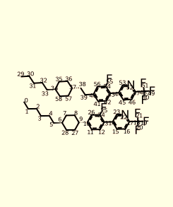 CCCCCC[C@H]1CC[C@H](c2ccc(-c3ccc(C(F)(F)F)nc3)c(F)c2)CC1.CCCCC[C@H]1CC[C@H](CCc2ccc(-c3ccc(C(F)(F)F)nc3)c(F)c2)CC1